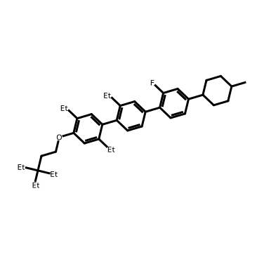 CCc1cc(-c2ccc(-c3ccc(C4CCC(C)CC4)cc3F)cc2CC)c(CC)cc1OCCC(CC)(CC)CC